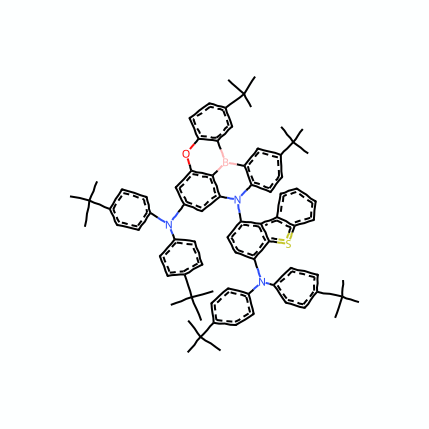 CC(C)(C)c1ccc(N(c2ccc(C(C)(C)C)cc2)c2cc3c4c(c2)N(c2ccc(N(c5ccc(C(C)(C)C)cc5)c5ccc(C(C)(C)C)cc5)c5sc6ccccc6c25)c2ccc(C(C)(C)C)cc2B4c2cc(C(C)(C)C)ccc2O3)cc1